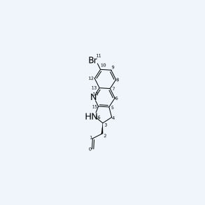 C=CC[C@@H]1Cc2cc3ccc(Br)cc3nc2N1